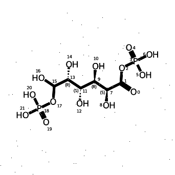 O=C(OP(=O)(O)O)[C@@H](O)[C@H](O)[C@H](O)[C@@H](O)C(O)OP(=O)(O)O